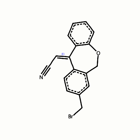 N#C/C=C1\c2ccc(CBr)cc2COc2ccccc21